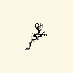 CCN(C)c1cc(CCO/C=C/O)ccc1CCO